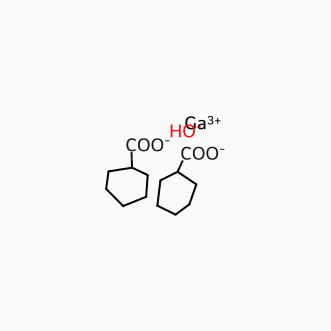 O=C([O-])C1CCCCC1.O=C([O-])C1CCCCC1.[Ga+3].[OH-]